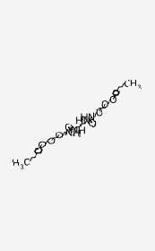 CCCCc1ccc(OCCOCCOCCNC(=O)NCCCCNC(=O)NCCOCCOCCOc2ccc(CCCC)cc2)cc1